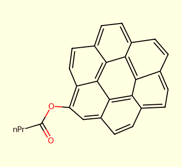 CCCC(=O)Oc1cc2ccc3ccc4ccc5ccc6ccc1c1c6c5c4c3c21